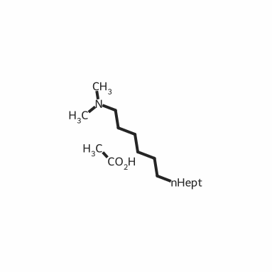 CC(=O)O.CCCCCCCCCCCCCN(C)C